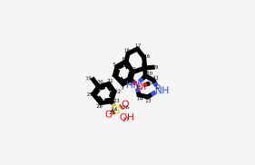 COc1cccc2c1C(C)(C1CNCCN1)CCC2.Cc1ccc(S(=O)(=O)O)cc1